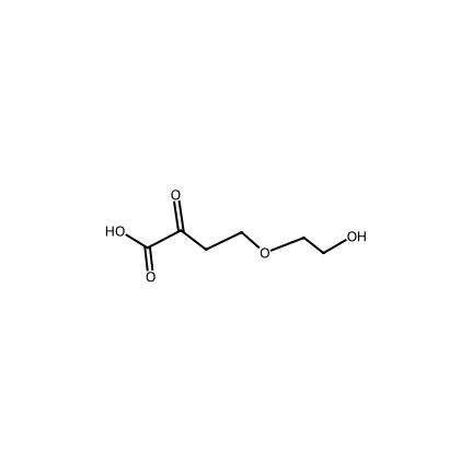 O=C(O)C(=O)CCOCCO